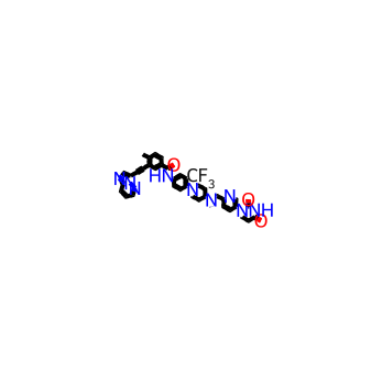 Cc1ccc(C(=O)Nc2ccc(N3CCC(N(C)Cc4ccc(N5CCC(=O)NC5=O)cn4)CC3)c(C(F)(F)F)c2)cc1C#Cc1cnc2cccnn12